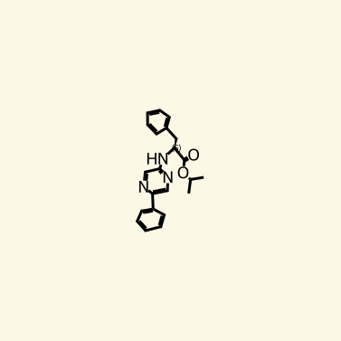 CC(C)OC(=O)[C@H](Cc1ccccc1)Nc1cnc(-c2ccccc2)cn1